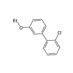 CCOc1cccc(-c2ccccc2Cl)c1